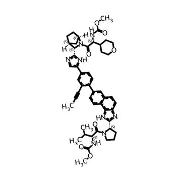 CC#Cc1cc(-c2cnc([C@@H]3[C@H]4CC[C@H](C4)N3C(=O)[C@@H](NC(=O)OC)C3CCOCC3)[nH]2)ccc1-c1ccc2c(ccc3nc([C@@H]4CCCN4C(=O)[C@@H](NC(=O)OC)C(C)C)[nH]c32)c1